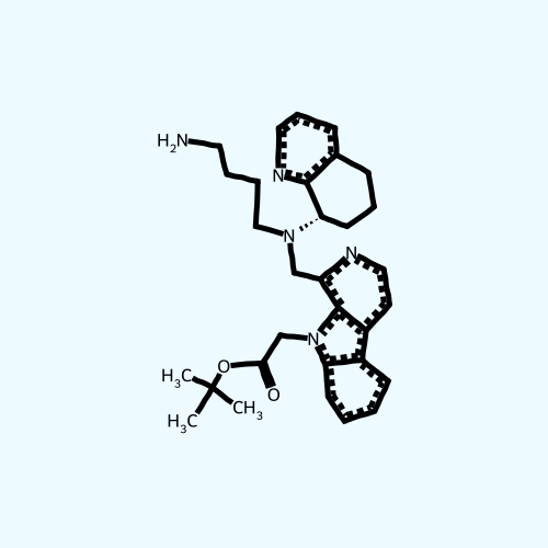 CC(C)(C)OC(=O)Cn1c2ccccc2c2ccnc(CN(CCCCN)[C@H]3CCCc4cccnc43)c21